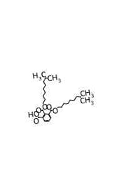 CC(C)CCCCCCCOC(=O)c1cccc(C(=O)O)c1C(=O)OCCCCCCCC(C)C